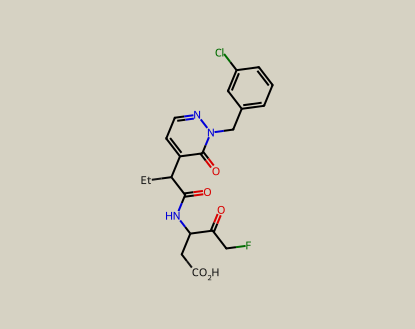 CCC(C(=O)NC(CC(=O)O)C(=O)CF)c1ccnn(Cc2cccc(Cl)c2)c1=O